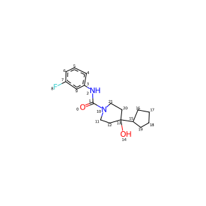 O=C(Nc1cccc(F)c1)N1CCC(O)(C2CCCC2)CC1